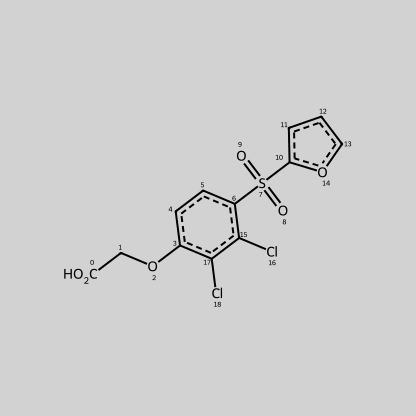 O=C(O)COc1ccc(S(=O)(=O)c2ccco2)c(Cl)c1Cl